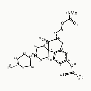 CNC(=O)OCCN1Cc2cc(OC(N)=O)ccc2C2(CCN([C@H]3CC[C@@H](C(C)C)CC3)CC2)C1=O